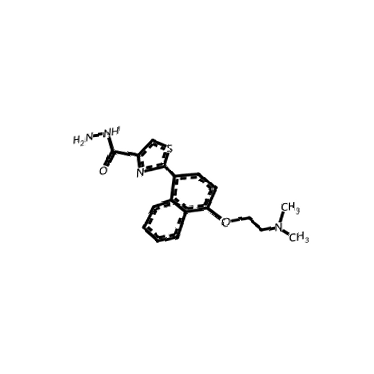 CN(C)CCOc1ccc(-c2nc(C(=O)NN)cs2)c2ccccc12